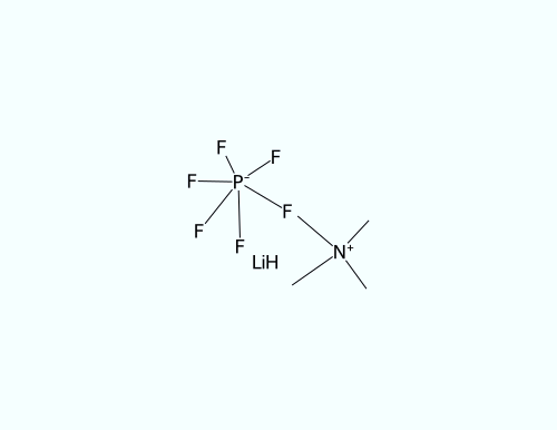 C[N+](C)(C)C.F[P-](F)(F)(F)(F)F.[LiH]